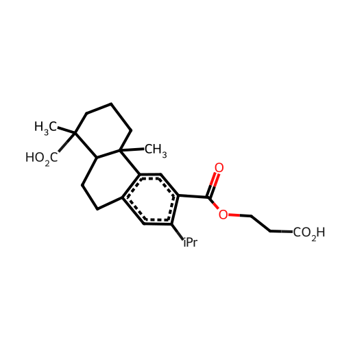 CC(C)c1cc2c(cc1C(=O)OCCC(=O)O)C1(C)CCCC(C)(C(=O)O)C1CC2